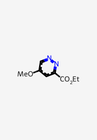 CCOC(=O)c1cc(OC)cnn1